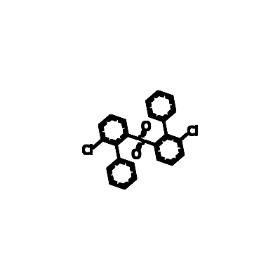 O=S(=O)(c1cccc(Cl)c1-c1ccccc1)c1cccc(Cl)c1-c1ccccc1